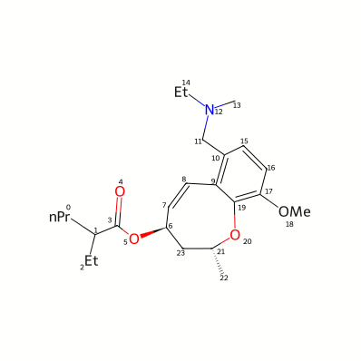 CCCC(CC)C(=O)O[C@H]1/C=C\c2c(CN(C)CC)ccc(OC)c2O[C@H](C)C1